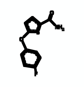 NC(=O)c1ccc(Oc2ccc(F)cc2)s1